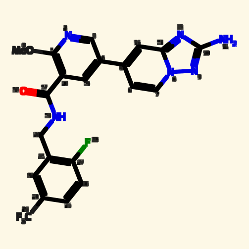 COc1ncc(-c2ccn3nc(N)nc3c2)cc1C(=O)NCc1cc(C(F)(F)F)ccc1F